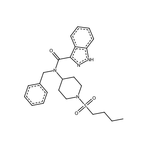 CCCCS(=O)(=O)N1CCC(N(Cc2ccccc2)C(=O)c2n[nH]c3ccccc23)CC1